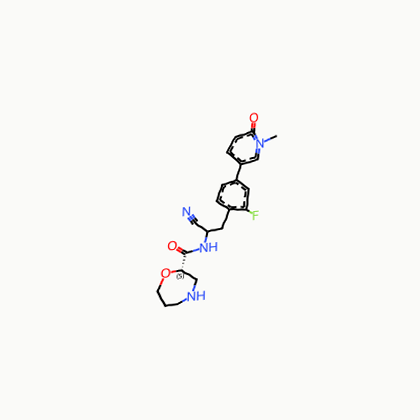 Cn1cc(-c2ccc(CC(C#N)NC(=O)[C@@H]3CNCCCO3)c(F)c2)ccc1=O